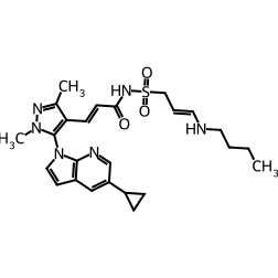 CCCCNC=CCS(=O)(=O)NC(=O)/C=C/c1c(C)nn(C)c1-n1ccc2cc(C3CC3)cnc21